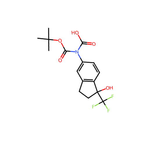 CC(C)(C)OC(=O)N(C(=O)O)c1ccc2c(c1)CCC2(O)C(F)(F)F